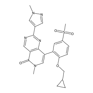 Cn1cc(-c2ncc3c(=O)n(C)cc(-c4cc(S(C)(=O)=O)ccc4OCC4CC4)c3n2)cn1